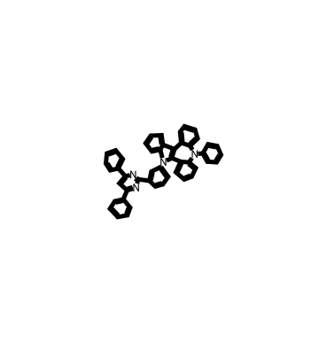 c1ccc(-c2cc(-c3ccccc3)nc(-c3cccc(-n4c5c(c6ccccc64)-c4ccccc4N(c4ccccc4)c4ccccc4-5)c3)n2)cc1